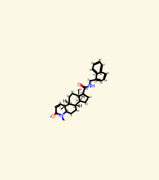 CN1C(=O)C=C[C@@]2(C)C1CC[C@@H]1[C@H]2CC[C@]2(C)C(C(=O)NCc3cccc4ccccc34)CC[C@@H]12